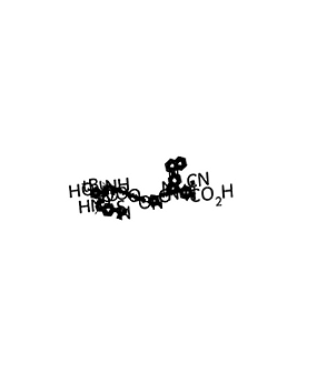 Cc1ncsc1-c1ccc([C@H](C)NC(=O)[C@@H]2C[C@@H](O)CN2C(=O)[C@@H](NC(=O)COCCOCCO[C@@H]2C[C@@H](COc3nc4c(c(N5CCN(C(=O)O)[C@@H](CC#N)C5)n3)CCN(c3cccc5ccccc35)C4)N(C)C2)C(C)(C)C)cc1